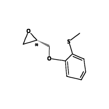 CSc1ccccc1OC[C@@H]1CO1